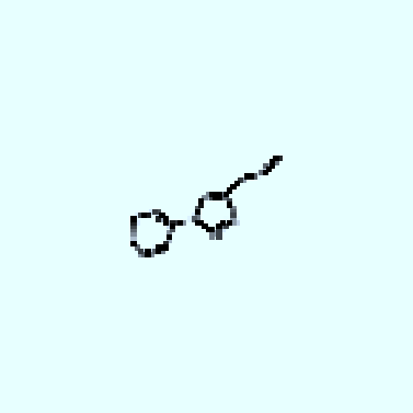 C=CCc1cn(-c2ccccc2)nn1